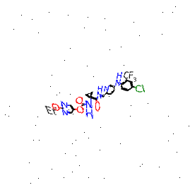 CCOc1ncc(OC(=O)NC2(C(=O)NCc3ccc(Nc4ccc(Cl)cc4C(F)(F)F)cn3)CC2)cn1